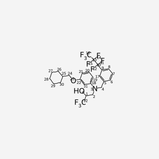 OC(CN(Cc1cccc(C(F)(F)C(F)(F)C(F)(F)F)c1)c1cccc(OCC2CCCCC2)c1)C(F)(F)F